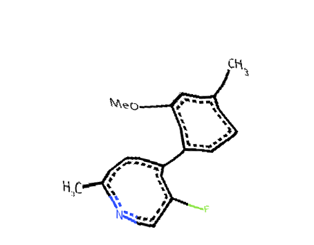 COc1cc(C)ccc1-c1cc(C)ncc1F